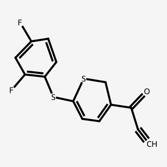 C#CC(=O)C1=CC=C(Sc2ccc(F)cc2F)SC1